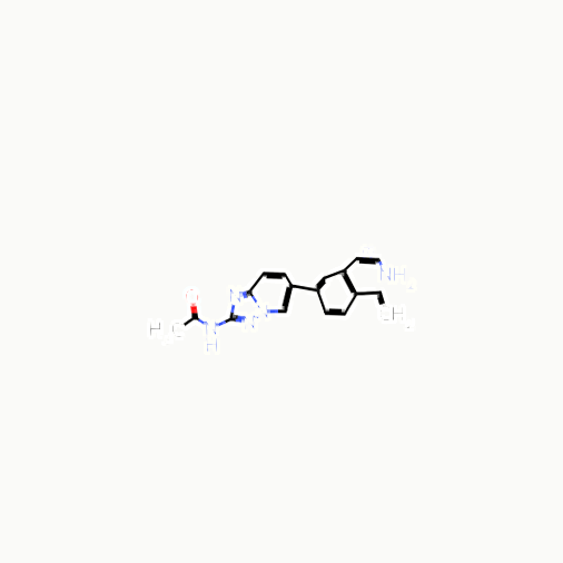 C=Cc1ccc(-c2ccc3nc(NC(C)=O)nn3c2)cc1/C=C\N